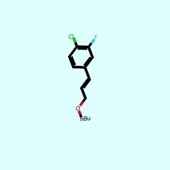 [CH2]CCCOCC=Cc1ccc(Cl)c(F)c1